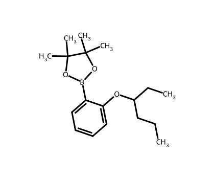 CCCC(CC)Oc1ccccc1B1OC(C)(C)C(C)(C)O1